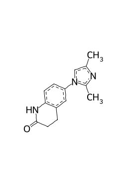 Cc1cn(-c2ccc3c(c2)CCC(=O)N3)c(C)n1